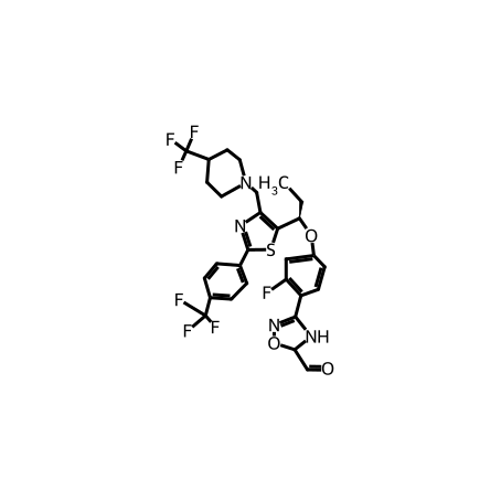 CC[C@@H](Oc1ccc(C2=NOC(C=O)N2)c(F)c1)c1sc(-c2ccc(C(F)(F)F)cc2)nc1CN1CCC(C(F)(F)F)CC1